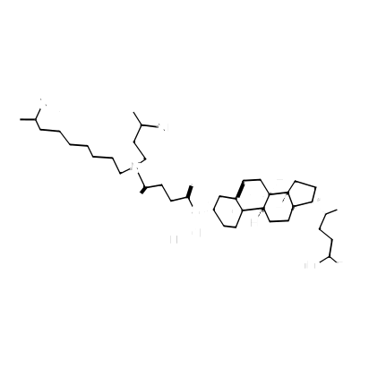 CCC(CCC(C)[C@H]1CC[C@H]2[C@@H]3CC=C4C[C@@H](OC(=O)CCC(=O)N(CCCCCCCC(C)N)CCC(C)N)CC[C@]4(C)[C@H]3CC[C@]12C)C(C)C.Cl.Cl